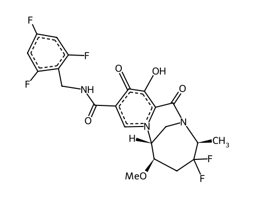 CO[C@@H]1CC(F)(F)[C@H](C)N2C[C@H]1n1cc(C(=O)NCc3c(F)cc(F)cc3F)c(=O)c(O)c1C2=O